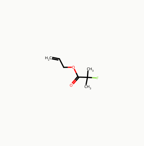 C=CCOC(=O)C(C)(C)F